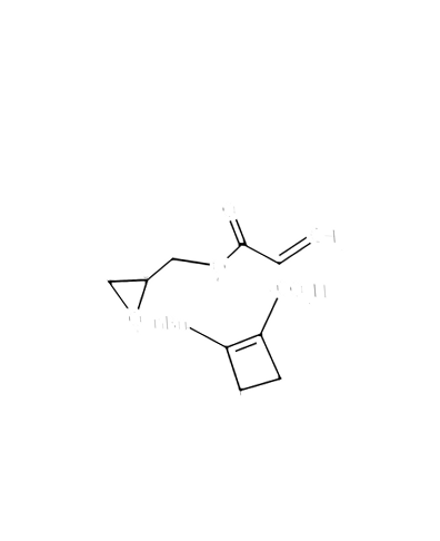 C=CC(=O)OCC1CO1.CCCCC1=C(C(=O)O)CC1